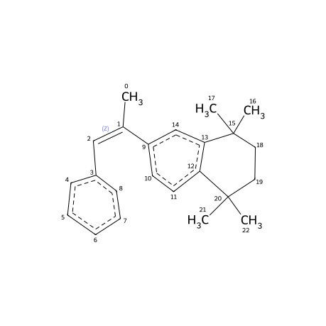 C/C(=C/c1ccccc1)c1ccc2c(c1)C(C)(C)CCC2(C)C